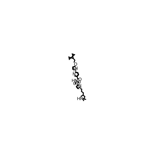 CC1(C)CC(CCCn2ccc(S(=O)(=O)NC(=O)c3ccc(-n4ccc(OCCC5C6(CC6)C56CC6)n4)nc3)n2)CN1